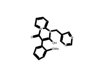 COc1ccccc1-c1c(O)n(Cc2cncnc2)c2cccc[n+]2c1=O